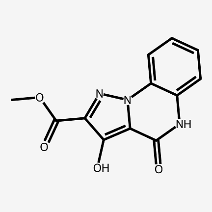 COC(=O)c1nn2c(c1O)c(=O)[nH]c1ccccc12